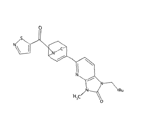 Cn1c(=O)n(CC(C)(C)C)c2ccc(C3=CC4CCC3CN4C(=O)c3ccns3)nc21